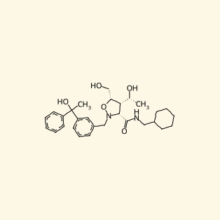 C[C@@H](O)[C@H]1[C@@H](CO)ON(Cc2cccc(C(C)(O)c3ccccc3)c2)[C@H]1C(=O)NCC1CCCCC1